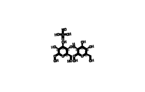 O=NP(=O)(O)O.OC[C@H]1OC(OO)[C@H](O)[C@@H](O)[C@@H]1O.OC[C@H]1OC(OO)[C@H](O)[C@@H](O)[C@@H]1O